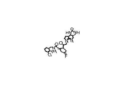 O=C1NCc2cnc3c(ccn3CC(=O)C3C[C@H](F)C[C@H]3C(=O)NCc3cccc(Cl)c3F)c2N1